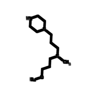 CCC(C)OCCCN(C)CCCN1CCNCC1